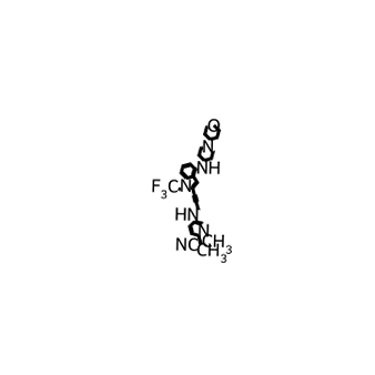 CC(C)(C#N)c1ccc(NCC#Cc2cc3c(NC4CCN(C5CCOCC5)CC4)cccc3n2CC(F)(F)F)cn1